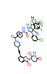 CC(C)(C)C[C@@H]1N[C@@H](C(=O)NC23CCC(C(=O)N4CCC(C#Cc5cccc6c5CN(C5CCC(=O)NC5=O)C6=O)CC4)(CC2)CC3)[C@H](c2cccc(Cl)c2F)[C@@]1(C#N)c1ccc(Cl)cc1F